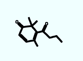 CCCC(=O)C1=C(C)C=CC(=O)C1(C)C